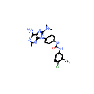 Cc1nc(N)c2nc(N(C)C)n(-c3ccc(NC(=O)Nc4ccc(Cl)c(C(F)(F)F)c4)cc3)c2n1